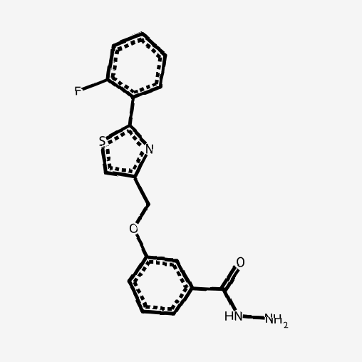 NNC(=O)c1cccc(OCc2csc(-c3ccccc3F)n2)c1